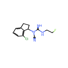 N#CN(C(=N)NCCF)C1CCc2cccc(Cl)c21